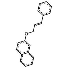 [c]1cc2ccccc2cc1OCC=Cc1ccccc1